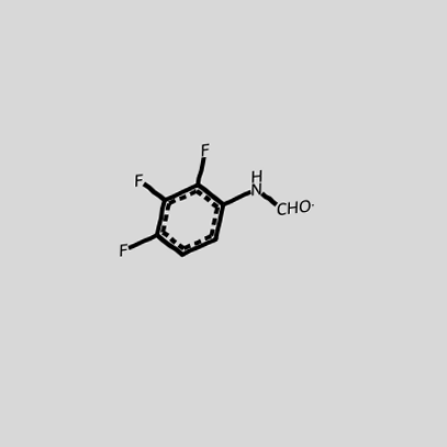 O=[C]Nc1ccc(F)c(F)c1F